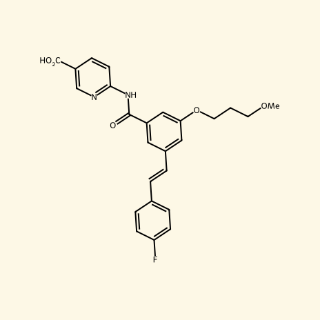 COCCCOc1cc(/C=C/c2ccc(F)cc2)cc(C(=O)Nc2ccc(C(=O)O)cn2)c1